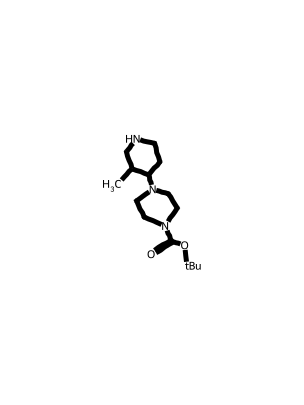 CC1CNCCC1N1CCN(C(=O)OC(C)(C)C)CC1